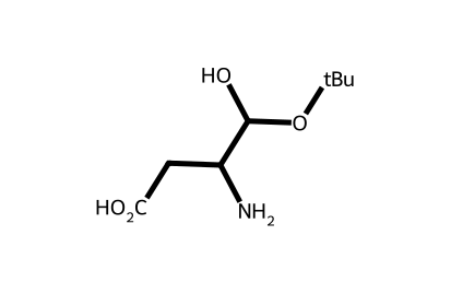 CC(C)(C)OC(O)C(N)CC(=O)O